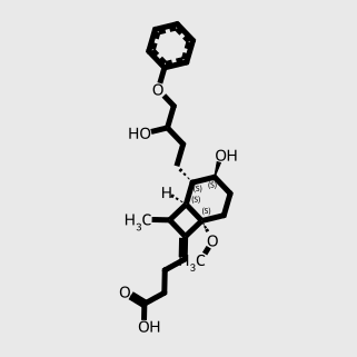 CO[C@@]12CC[C@H](O)[C@@H](CCC(O)COc3ccccc3)[C@@H]1C(C)C2=CCCC(=O)O